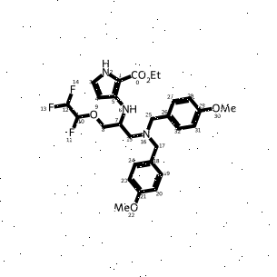 CCOC(=O)c1[nH]ccc1NC(COC(F)C(F)F)CN(Cc1ccc(OC)cc1)Cc1ccc(OC)cc1